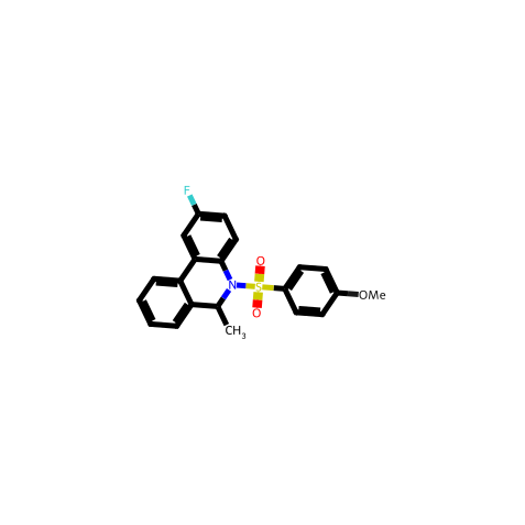 COc1ccc(S(=O)(=O)N2c3ccc(F)cc3-c3ccccc3C2C)cc1